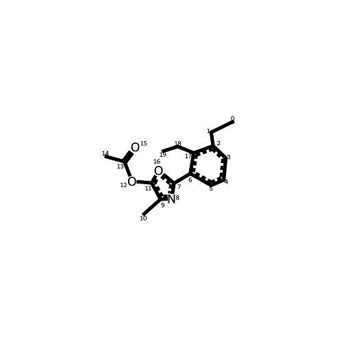 CCc1cccc(-c2nc(C)c(OC(C)=O)o2)c1CC